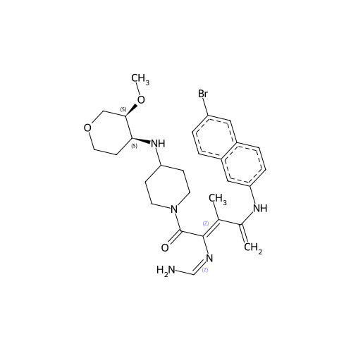 C=C(Nc1ccc2cc(Br)ccc2c1)/C(C)=C(\N=C/N)C(=O)N1CCC(N[C@H]2CCOC[C@H]2OC)CC1